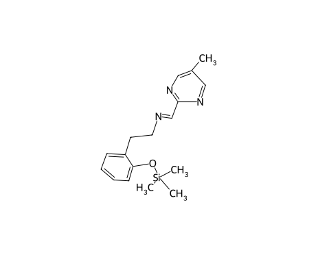 Cc1cnc(C=NCCc2ccccc2O[Si](C)(C)C)nc1